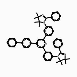 CC1(C)N=C(c2ccccc2)N(c2cccc(-c3cc(-c4ccc(-c5ccccc5)cc4)nc(-c4cccc(N5C(c6ccccc6)=NC(C)(C)C5(C)C)c4)n3)c2)C1(C)C